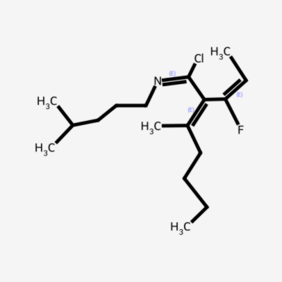 C\C=C(F)/C(C(/Cl)=N\CCCC(C)C)=C(/C)CCCC